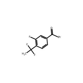 CC(C)C(=O)c1ccc(C(C)(F)F)c(F)c1